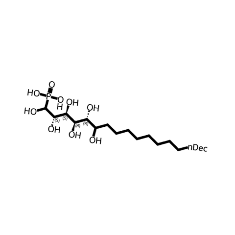 CCCCCCCCCCCCCCCCCCC(O)[C@@H](O)[C@@H](O)[C@H](O)[C@H](O)C(O)P(=O)(O)O